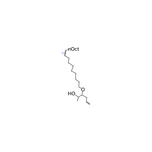 C=CCC(OCCCCCCCC/C=C\CCCCCCCC)C(C)O